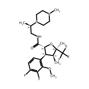 COc1c([C@H]2[C@H](C(=O)NC[C@@H](C)N3CCN(C)CC3)O[C@@](C)(C(F)(F)F)[C@H]2C)ccc(F)c1F